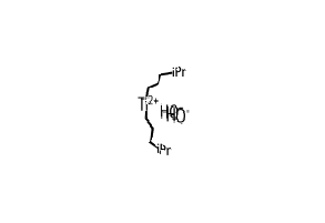 CC(C)CC[CH2][Ti+2][CH2]CCC(C)C.[OH-].[OH-]